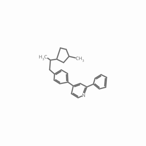 CC1CCC(C(C)Cc2ccc(-c3ccnc(-c4ccccc4)c3)cc2)C1